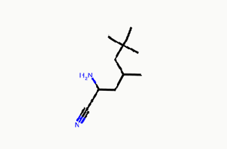 CC(CC(N)C#N)CC(C)(C)C